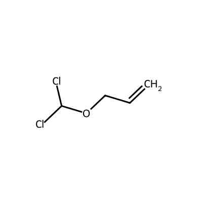 C=CCOC(Cl)Cl